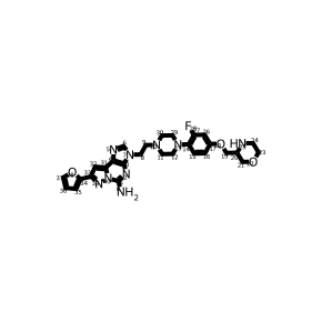 Nc1nc2c(ncn2CCN2CCN(c3ccc(OCC4COCCN4)cc3F)CC2)c2cc(-c3ccco3)nn12